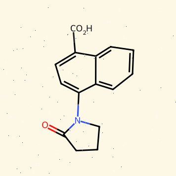 O=C(O)c1ccc(N2CCCC2=O)c2ccccc12